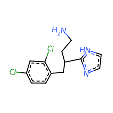 NCCC(Cc1ccc(Cl)cc1Cl)c1ncc[nH]1